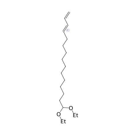 C=C/C=C/CCCCCCCCCCC(OCC)OCC